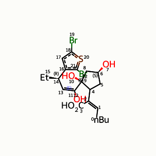 CCCCC=C(C(=O)O)C1C[C@H](O)C[C@@]1(O)/C(O)=C\[C@@H](CC)c1cc(Br)sc1Br